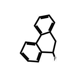 FC1Cc2ccccc2-c2ccccc21